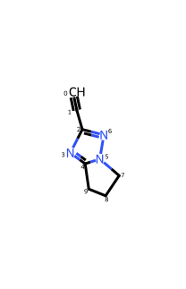 C#Cc1nc2n(n1)CCC2